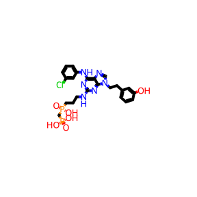 O=P(O)(O)CP(=O)(O)CCCNc1nc(Nc2cccc(Cl)c2)c2ncn(CCc3cccc(O)c3)c2n1